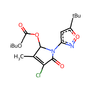 CC1=C(Cl)C(=O)N(c2cc(C(C)(C)C)on2)C1OC(=O)OCC(C)C